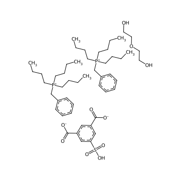 CCCC[P+](CCCC)(CCCC)Cc1ccccc1.CCCC[P+](CCCC)(CCCC)Cc1ccccc1.O=C([O-])c1cc(C(=O)[O-])cc(S(=O)(=O)O)c1.OCCOCCO